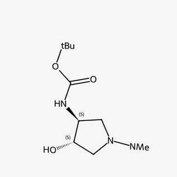 CNN1C[C@H](NC(=O)OC(C)(C)C)[C@@H](O)C1